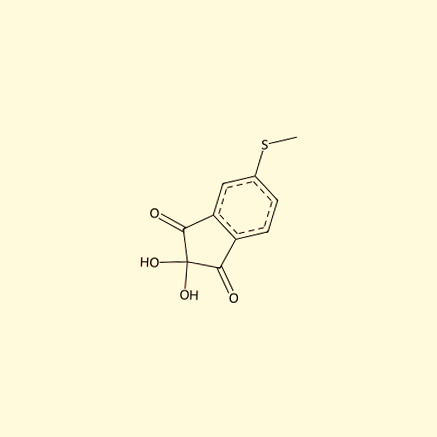 CSc1ccc2c(c1)C(=O)C(O)(O)C2=O